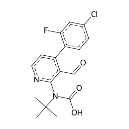 CC(C)(C)N(C(=O)O)c1nccc(-c2ccc(Cl)cc2F)c1C=O